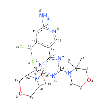 CC1(C)COCCN1c1nc(-c2cnc(N)cc2C(F)F)nc(N2C3COCC2COC3)n1